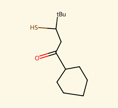 CC(C)(C)C(S)CC(=O)C1CCCCC1